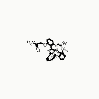 Cc1cccc(C)c1Nc1c(-c2c(OCCO)cccc2OCC(N)=O)nc2ccccn12